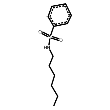 CCCCCCNS(=O)(=O)c1[c]cccc1